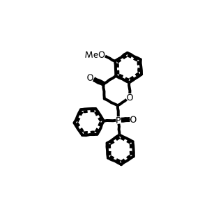 COc1cccc2c1C(=O)CC(P(=O)(c1ccccc1)c1ccccc1)O2